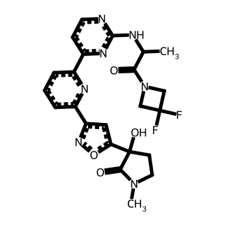 CC(Nc1nccc(-c2cccc(-c3cc(C4(O)CCN(C)C4=O)on3)n2)n1)C(=O)N1CC(F)(F)C1